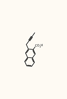 CC#CCc1cc2ccccc2cc1C(=O)O